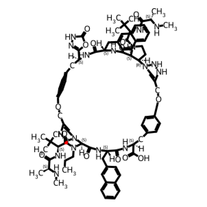 CCCN(C(=O)[C@@H](NC(=O)[C@H](C)NC)C(C)(C)C)[C@@H]1C(=O)N[C@@H](Cc2ccc3ccccc3c2)C(=O)N[C@H](C(=O)O)Cc2ccc(cc2)OCC2=CN(NN2)[C@@H]2CCN(C(=O)[C@@H](NC(=O)[C@H](C)NC)C(C)(C)C)[C@@H]2C(=O)N[C@@H](Cc2ccc3ccccc3c2)C(=O)N[C@H](c2n[nH]c(=O)o2)Cc2ccc(cc2)OCc2cn1nn2